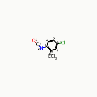 O=C=Nc1ccc(Cl)cc1C(Cl)(Cl)Cl